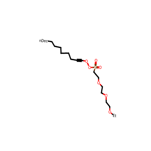 CCCCCCCCCCCCCCCCC#COOS(=O)(=O)CCOCCOCCOCC